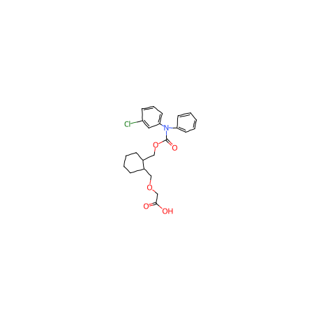 O=C(O)COCC1CCCCC1COC(=O)N(c1ccccc1)c1cccc(Cl)c1